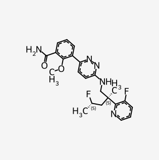 COc1c(C(N)=O)cccc1-c1ccc(NC[C@](C)(C[C@H](C)F)c2ncccc2F)nn1